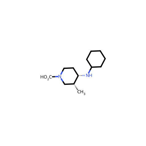 C[C@@H]1CN(C(=O)O)CC[C@@H]1NC1CCCCC1